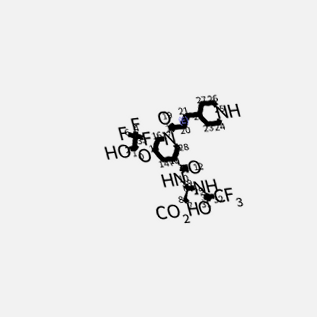 O=C(O)C(F)(F)F.O=C(O)C[C@@H](NC(=O)[C@@H]1CCCN(C(=O)/C=C/C2CCNCC2)C1)NC(=O)C(F)(F)F